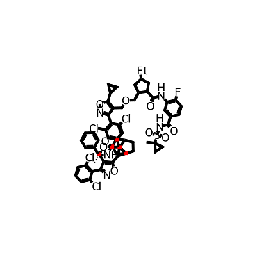 CCC1CC(COCc2c(-c3c(Cl)cc(C4CC4c4onc(-c5c(Cl)cccc5Cl)c4COC4CC5CCC(C4)C5C(=O)N[C@H](C)c4ccccc4)cc3Cl)noc2C2CC2)C(C(=O)Nc2cc(C(=O)NS(=O)(=O)C3(C)CC3)ccc2F)C1